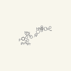 C=CC(=O)N1CCN(S(=O)(=O)NC2CCC3(CC2)CN(C[C@@H]2CCN(c4ncncc4Oc4ccc(F)cc4C(=O)N(C(C)C)C(C)C)C2)C3)CC1